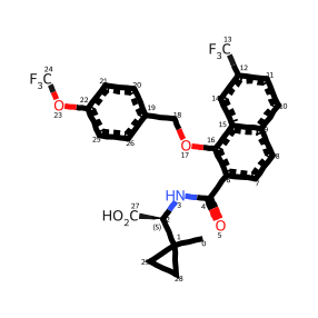 CC1([C@H](NC(=O)c2ccc3ccc(C(F)(F)F)cc3c2OCc2ccc(OC(F)(F)F)cc2)C(=O)O)CC1